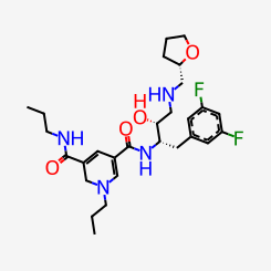 CCCNC(=O)C1=CC(C(=O)N[C@@H](Cc2cc(F)cc(F)c2)[C@H](O)CNC[C@@H]2CCCO2)=CN(CCC)C1